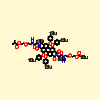 C=C(C)C(=O)OCCOCCNC(=O)C(CCCC)N1C(=O)c2cc(Oc3ccc(C(C)(C)C)cc3)c3c4c(Oc5ccc(C(C)(C)C)cc5)cc5c6c(cc(Oc7ccc(C(C)(C)C)cc7)c(c7c(Oc8ccc(C(C)(C)C)cc8)cc(c2c37)C1=O)c64)C(=O)N(C(CCCC)C(=O)NCCOCCOC(=O)C(C)(C)C)C5=O